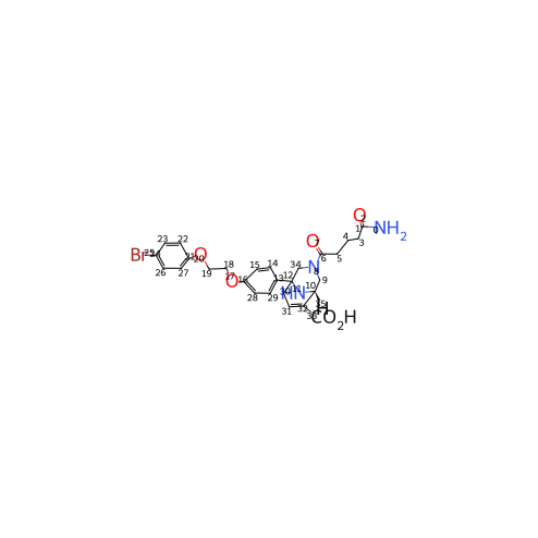 NC(=O)CCCC(=O)N1C[C@H]2NC(c3ccc(OCCOc4ccc(Br)cc4)cc3)(CC=C2C(=O)O)C1